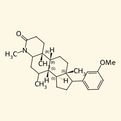 COc1cccc(C2CC[C@H]3[C@@H]4C(C)CC5N(C)C(=O)CC[C@]5(C)[C@@H]4CC[C@]23C)c1